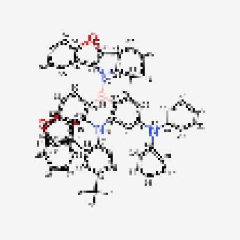 CC(C)(C)c1ccc(N2c3cc(N(c4ccccc4)c4ccccc4)cc4c3B(c3ccc5oc6ccccc6c5c32)n2c3c-4cccc3c3oc4ccccc4c32)c(-c2ccccc2)c1